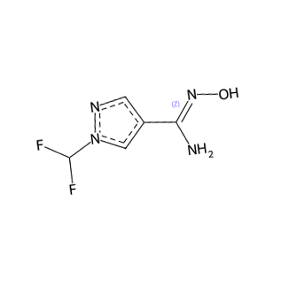 N/C(=N\O)c1cnn(C(F)F)c1